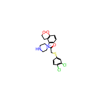 O=C(CSc1ccc(Cl)c(Cl)c1)[N+]1(c2cccc3c2CCOO3)CCNCC1